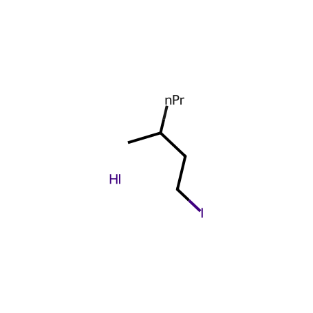 CCCC(C)CCI.I